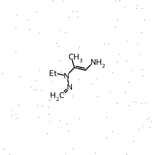 C=NN(CC)/C(C)=C/N